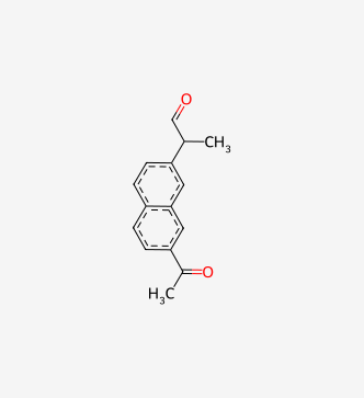 CC(=O)c1ccc2ccc(C(C)C=O)cc2c1